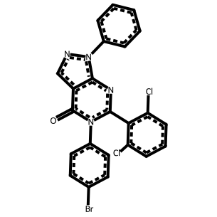 O=c1c2cnn(-c3ccccc3)c2nc(-c2c(Cl)cccc2Cl)n1-c1ccc(Br)cc1